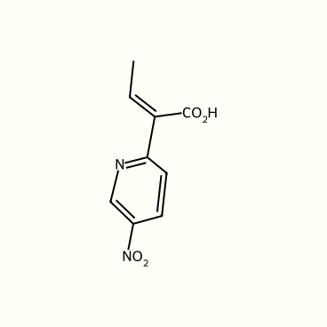 CC=C(C(=O)O)c1ccc([N+](=O)[O-])cn1